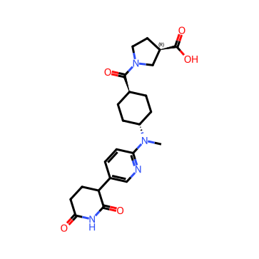 CN(c1ccc(C2CCC(=O)NC2=O)cn1)[C@H]1CC[C@H](C(=O)N2CC[C@@H](C(=O)O)C2)CC1